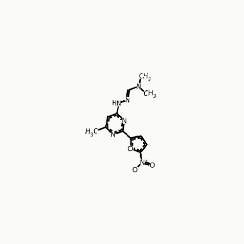 Cc1cc(NN=CN(C)C)nc(-c2ccc([N+](=O)[O-])o2)n1